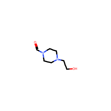 O=[C]N1CCN(CCO)CC1